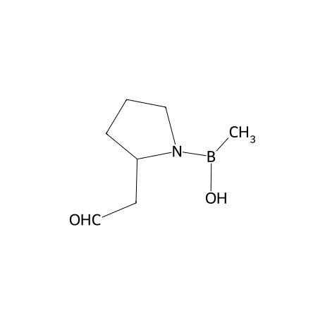 CB(O)N1CCCC1CC=O